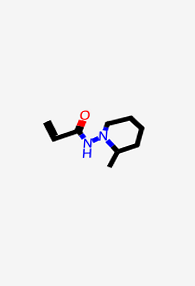 C=CC(=O)NN1CCCCC1C